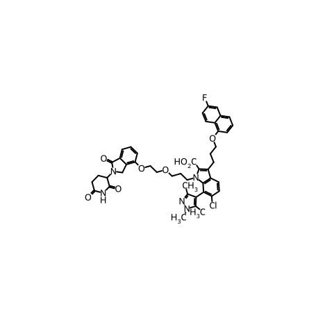 Cc1nn(C)c(C)c1-c1c(Cl)ccc2c(CCCOc3cccc4cc(F)ccc34)c(C(=O)O)n(CCCOCCOc3cccc4c3CN(C3CCC(=O)NC3=O)C4=O)c12